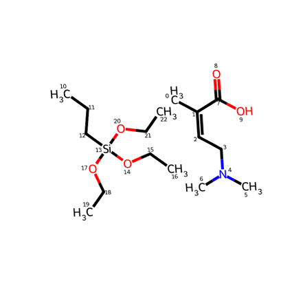 CC(=CCN(C)C)C(=O)O.CCC[Si](OCC)(OCC)OCC